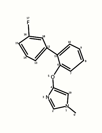 Cn1cnc(Oc2ccccc2-c2cccc(F)c2)c1